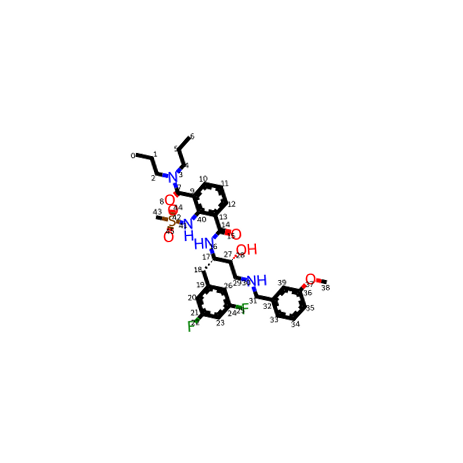 CCCN(CCC)C(=O)c1cccc(C(=O)N[C@@H](Cc2cc(F)cc(F)c2)[C@H](O)CNCc2cccc(OC)c2)c1NS(C)(=O)=O